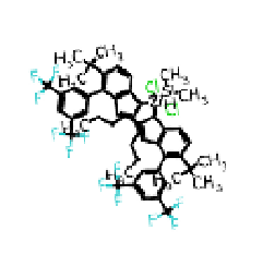 CCCCC1=Cc2c(ccc(C(C)(C)C)c2-c2cc(C(F)(F)F)cc(C(F)(F)F)c2)[CH]1[Zr]([Cl])([Cl])([CH]1C(CCCC)=Cc2c1ccc(C(C)(C)C)c2-c1cc(C(F)(F)F)cc(C(F)(F)F)c1)[SiH](C)C